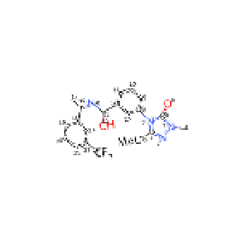 COc1nn(C)c(=O)n1-c1cccc(C(O)N=C(C)c2cccc(C(F)(F)F)c2)c1